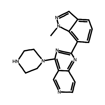 Cn1ncc2cccc(-c3nc(N4CCNCC4)c4cnccc4n3)c21